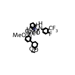 COc1ccc(C2CCCC3(C2)OCCO3)cc1C(=O)N[C@H]1[C@@H](C(=O)Nc2ccc(F)c(C(F)(F)F)c2)[C@H]2CC[C@@H]1/C2=C\C(F)(F)F